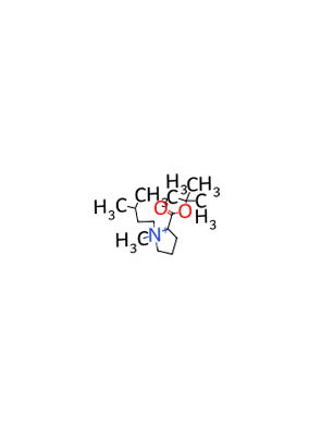 CC(C)CC[N+]1(C)CCCC1C(=O)OC(C)(C)C